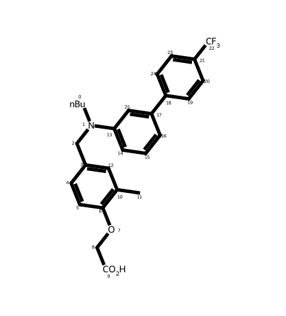 CCCCN(Cc1ccc(OCC(=O)O)c(C)c1)c1cccc(-c2ccc(C(F)(F)F)cc2)c1